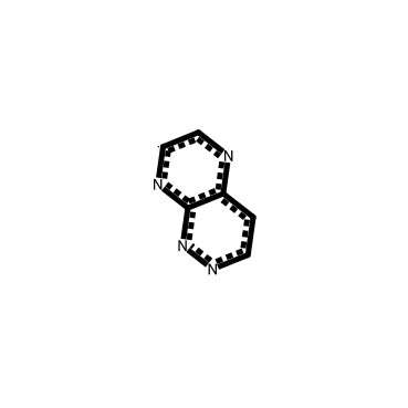 [c]1cnc2ccnnc2n1